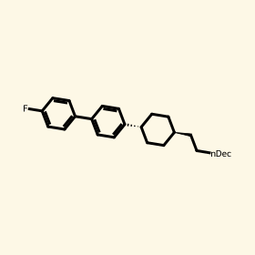 CCCCCCCCCCCC[C@H]1CC[C@H](c2ccc(-c3ccc(F)cc3)cc2)CC1